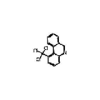 ClC(Cl)(Cl)c1cccc2ncc3ccccc3c12